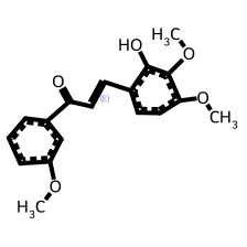 COc1cccc(C(=O)/C=C/c2ccc(OC)c(OC)c2O)c1